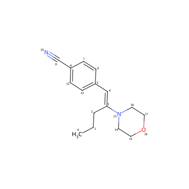 CCC/C(=C\c1ccc(C#N)cc1)N1CCOCC1